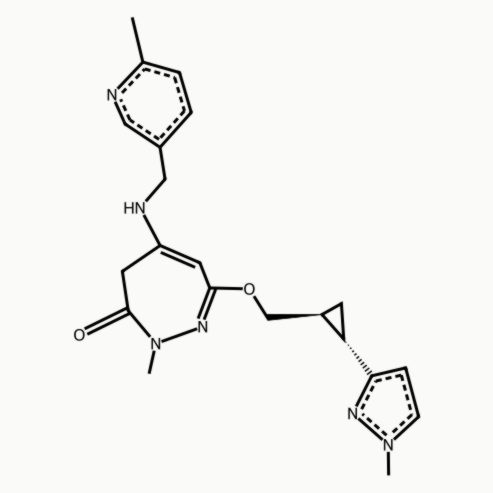 Cc1ccc(CNC2=CC(OC[C@H]3C[C@@H]3c3ccn(C)n3)=NN(C)C(=O)C2)cn1